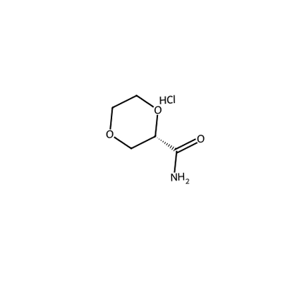 Cl.NC(=O)[C@@H]1COCCO1